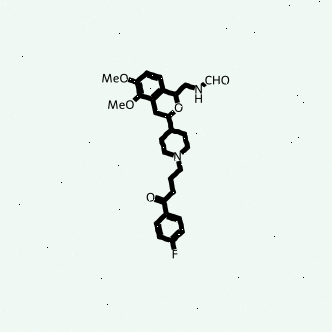 COc1ccc2c(c1OC)CC(C1CCN(CCCC(=O)c3ccc(F)cc3)CC1)OC2CNC=O